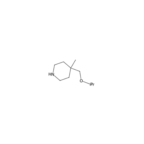 CC(C)OCC1(C)CCNCC1